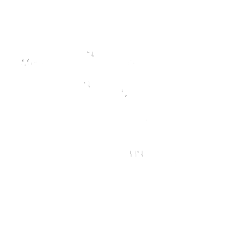 CC#Cc1cc(Cl)c(Cl)c2[nH]c3c(c12)C(C)N(C(=O)c1ncc(OC)cn1)CC3